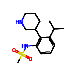 CC(C)c1cccc(NS(C)(=O)=O)c1C1CCCNC1